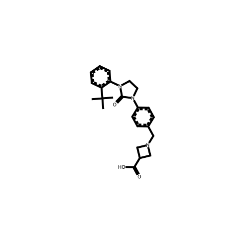 CC(C)(C)c1ccccc1N1CCN(c2ccc(CN3CC(C(=O)O)C3)cc2)C1=O